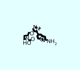 Cn1ncc(OCC2CCN2C(=O)O)c1-c1ccn2nc(N)cc2c1